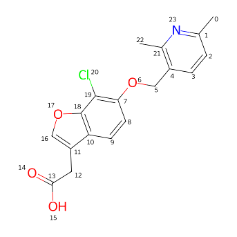 Cc1ccc(COc2ccc3c(CC(=O)O)coc3c2Cl)c(C)n1